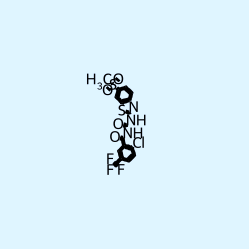 CS(=O)(=O)c1ccc2nc(NC(=O)NC(=O)c3cc(C(F)(F)F)ccc3Cl)sc2c1